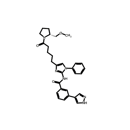 COC[C@H]1CCCN1C(=O)CCCCc1cn(-c2ccccc2)c(NC(=O)c2cccc(-c3cn[nH]c3)c2)n1